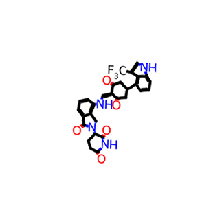 O=C1CCC(N2Cc3c(NC=C4C(=O)CC(c5cccc6[nH]cc(C(F)(F)F)c56)CC4=O)cccc3C2=O)C(=O)N1